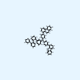 c1ccc(-c2ccccc2-c2ccccc2-c2cccc(N(c3ccc(-c4cccc5c4ccc4ccccc45)cc3)c3ccc(-c4cccc5c4oc4ccccc45)cc3)c2)cc1